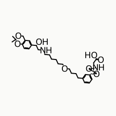 CC1(C)OCc2cc([C@H](O)CNCCCCCCOCCCCc3cccc(S(=O)(=O)NCC(=O)O)c3)ccc2O1